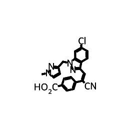 Cn1ccc(Cn2nc(C=C(C#N)c3ccc(C(=O)O)cc3)c3ccc(Cl)cc32)n1